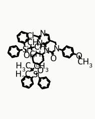 COc1ccc(N2Cc3cnc(Cl)nc3N(C3C[C@@H](O[Si](c4ccccc4)(c4ccccc4)C(C)(C)C)C[C@@H](O[Si](c4ccccc4)(c4ccccc4)C(C)(C)C)C3)C2=O)cc1